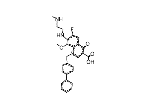 CNCCNc1c(F)cc2c(=O)c(C(=O)O)cn(Cc3ccc(-c4ccccc4)cc3)c2c1OC